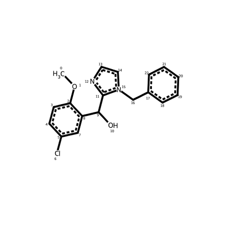 COc1ccc(Cl)cc1C(O)c1nccn1Cc1ccccc1